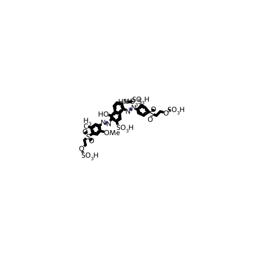 COc1cc(S(=O)(=O)CCOS(=O)(=O)O)c(C)cc1/N=N/c1c(S(=O)(=O)O)cc2c(/N=N/c3ccc(S(=O)(=O)CCOS(=O)(=O)O)cc3S(=O)(=O)O)c(NCS(=O)(=O)O)ccc2c1O